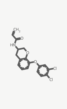 C=CC(=O)NC1COc2c(cccc2Oc2ccc(Cl)c(Cl)c2)C1